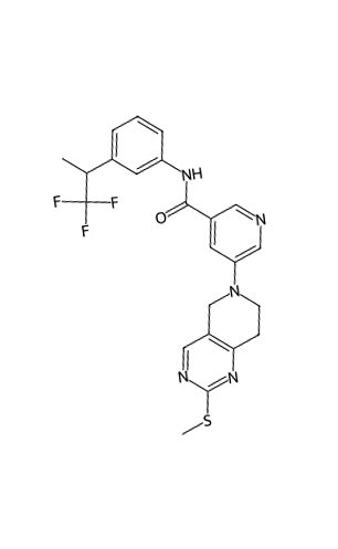 CSc1ncc2c(n1)CCN(c1cncc(C(=O)Nc3cccc(C(C)C(F)(F)F)c3)c1)C2